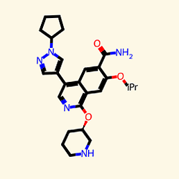 CC(C)Oc1cc2c(O[C@@H]3CCCNC3)ncc(-c3cnn(C4CCCC4)c3)c2cc1C(N)=O